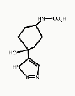 O=C(O)NC1CCC(O)(c2cnn[nH]2)CC1